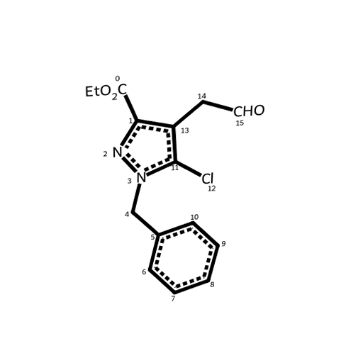 CCOC(=O)c1nn(Cc2ccccc2)c(Cl)c1CC=O